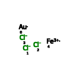 [Au].[Cl-].[Cl-].[Cl-].[Fe+3]